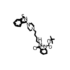 CC(C)(C)OC(=O)Nc1ccccc1C(=O)NCCCCN1CCN(c2nsc3ccccc23)CC1